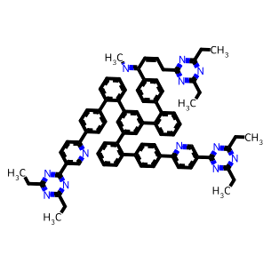 CCc1nc(CC)nc(C/C=C\C(=N/C)c2ccc(-c3ccccc3-c3cc(-c4ccccc4-c4ccc(-c5ccc(-c6nc(CC)nc(CC)n6)cn5)cc4)cc(-c4ccccc4-c4ccc(-c5ccc(-c6nc(CC)nc(CC)n6)cn5)cc4)c3)cc2)n1